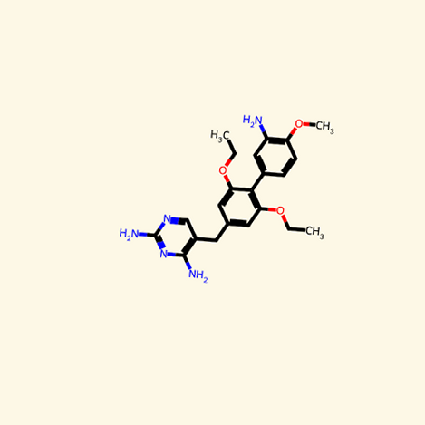 CCOc1cc(Cc2cnc(N)nc2N)cc(OCC)c1-c1ccc(OC)c(N)c1